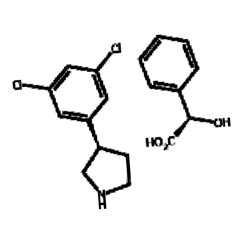 Clc1cc(Cl)cc([C@H]2CCNC2)c1.O=C(O)[C@H](O)c1ccccc1